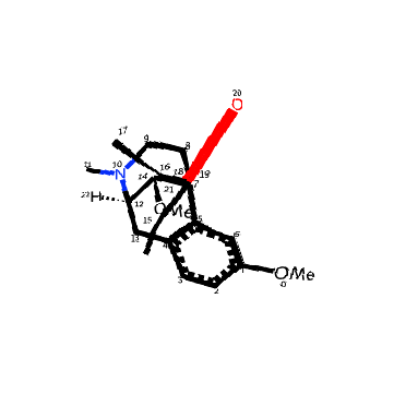 COc1ccc2c(c1)[C@]13CCN(C)[C@H](C2)[C@]1(OC)[C@H](C)CC(=O)C3